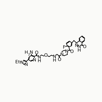 CCn1cnc(-c2cnc(C(=O)NCCOCCNCC(=O)N3CCN(C(=O)c4cc(Cc5n[nH]c(=O)c6ccccc56)ccc4F)CC3)c(N)c2)c1